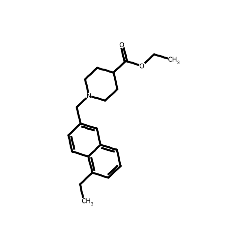 CCOC(=O)C1CCN(Cc2ccc3c(CC)cccc3c2)CC1